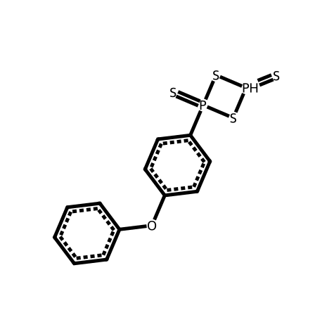 S=[PH]1SP(=S)(c2ccc(Oc3ccccc3)cc2)S1